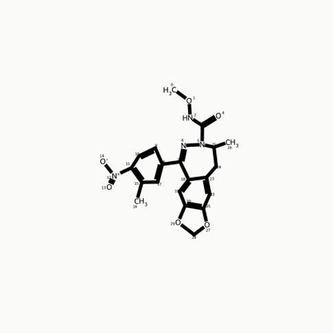 CONC(=O)N1N=C(c2ccc([N+](=O)[O-])c(C)c2)c2cc3c(cc2CC1C)OCO3